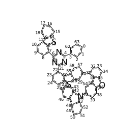 c1ccc(-c2nc(-c3cccc4c3sc3ccccc34)nc(-c3cccc4sc5cc(-c6cccc7oc8ccc(-n9c%10ccccc%10c%10ccccc%109)cc8c67)ccc5c34)n2)cc1